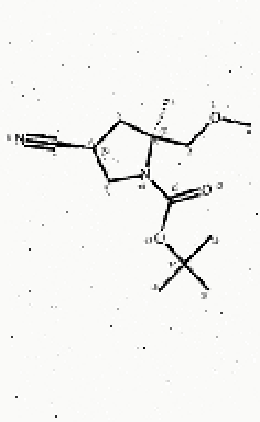 COC[C@]1(C)C[C@H](C#N)CN1C(=O)OC(C)(C)C